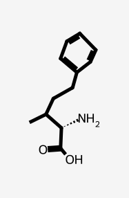 CC(CCc1ccccc1)[C@H](N)C(=O)O